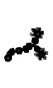 [2H]c1c([2H])c([2H])c(-c2ccc(N(c3ccc(-c4c([2H])c([2H])c([2H])c([2H])c4[2H])cc3)c3ccc4cc(-c5ccc(-c6ccc7sc8ccccc8c7c6)cc5)ccc4c3)cc2)c([2H])c1[2H]